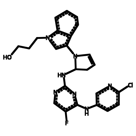 OCCCn1cc(N2C=CCC2Nc2ncc(F)c(Nc3ccc(Cl)nc3)n2)c2ccccc21